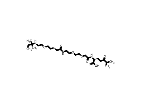 CCC(C)(C)NCCOCCOCC(=O)NCCOCCOCC(=O)N[C@@H](CCC(=O)C(C)C)C(=O)O